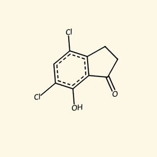 O=C1CCc2c(Cl)cc(Cl)c(O)c21